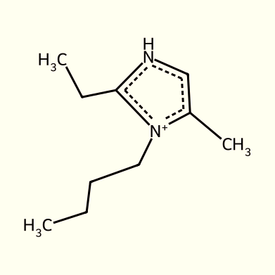 CCCC[n+]1c(C)c[nH]c1CC